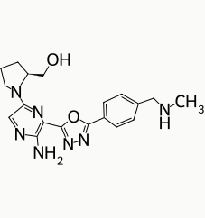 CNCc1ccc(-c2nnc(-c3nc(N4CCC[C@H]4CO)cnc3N)o2)cc1